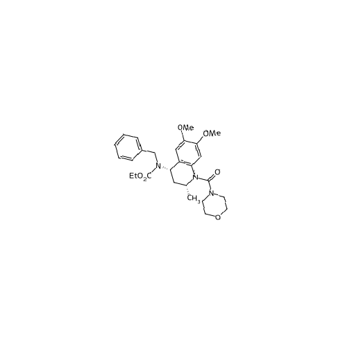 CCOC(=O)N(Cc1ccccc1)[C@H]1C[C@@H](C)N(C(=O)N2CCOCC2)c2cc(OC)c(OC)cc21